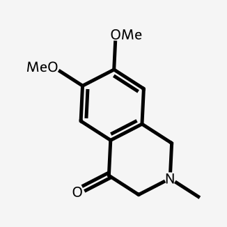 COc1cc2c(cc1OC)C(=O)CN(C)C2